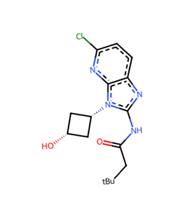 CC(C)(C)CC(=O)Nc1nc2ccc(Cl)nc2n1[C@H]1C[C@@H](O)C1